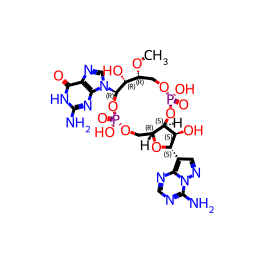 CO[C@@H]1COP(=O)(O)O[C@H]2[C@@H](O)[C@H](c3cnn4c(N)ncnc34)O[C@@H]2COP(=O)(O)O[C@@H](n2cnc3c(=O)[nH]c(N)nc32)[C@@H]1O